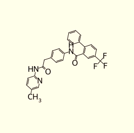 Cc1ccc(NC(=O)Cc2ccc(NC(=O)c3cc(C(F)(F)F)ccc3-c3ccccc3)cc2)nc1